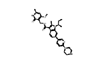 CCC(C)n1c(C)c(C(=O)NCc2c(OC)cc(C)[nH]c2=O)c2ccc(-c3ccc(N4CCNCC4)nc3)cc21